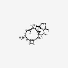 C=C(C)CC(C)CC12C=C1C(CC(=C)SCC)/C(C(C)C)=C(\C)CCC(N)CC1CCC1CC2CC